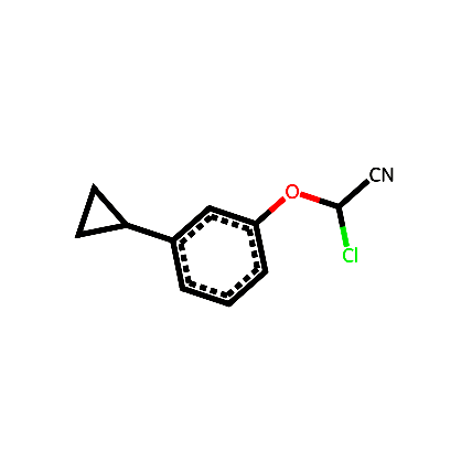 N#CC(Cl)Oc1cccc(C2CC2)c1